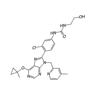 Cc1ccnc(Cn2c(-c3ccc(NC(=O)NCCO)cc3Cl)nc3c(OC4(C)CC4)ncnc32)c1